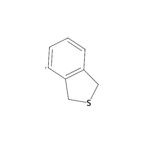 [c]1cccc2c1CSC2